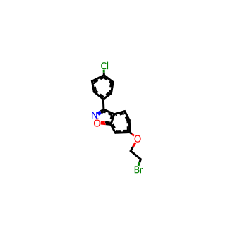 Clc1ccc(-c2noc3cc(OCCBr)ccc23)cc1